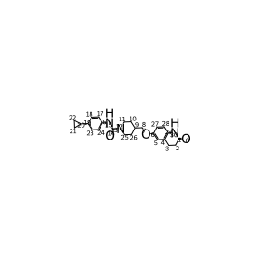 O=C1CCc2cc(OCC3CCN(C(=O)Nc4ccc(C5CC5)cc4)CC3)ccc2N1